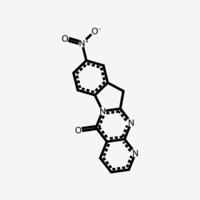 O=c1c2cccnc2nc2n1-c1ccc([N+](=O)[O-])cc1C2